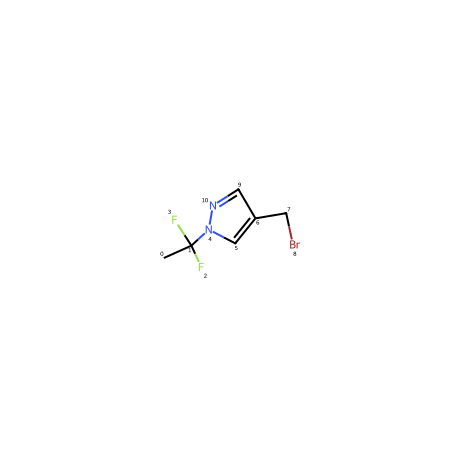 CC(F)(F)n1cc(CBr)cn1